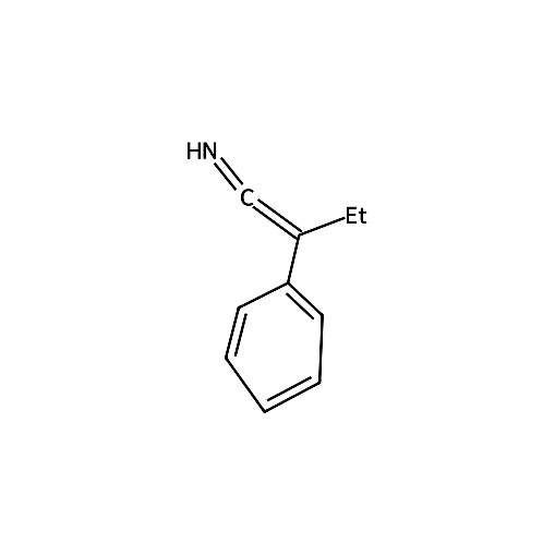 CCC(=C=N)c1ccccc1